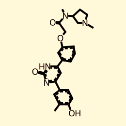 Cc1cc(-c2cc(-c3cccc(OCC(=O)N(C)C4CCN(C)C4)c3)[nH]c(=O)n2)ccc1O